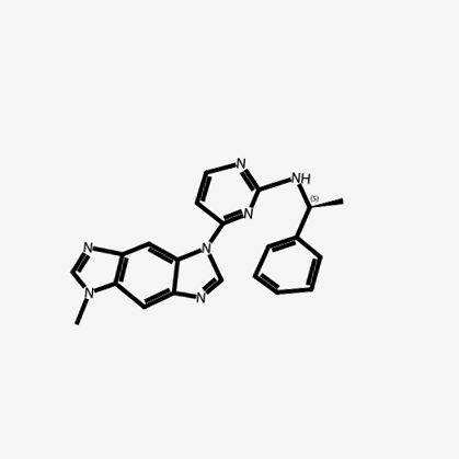 C[C@H](Nc1nccc(-n2cnc3cc4c(cc32)ncn4C)n1)c1ccccc1